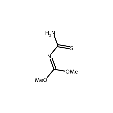 COC(=NC(N)=S)OC